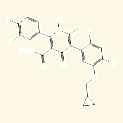 CCn1c(C)c(-c2cc(OCC3CC3)c(Cl)cc2F)c(=O)c(C(=O)OC)c1-c1ccc(F)c(F)c1